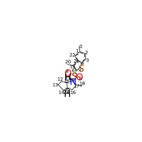 Cc1ccc2sc(S(=O)(=O)N3[C@@H]4CCC[C@@H]4C[C@@H]3C)c(C)c2c1